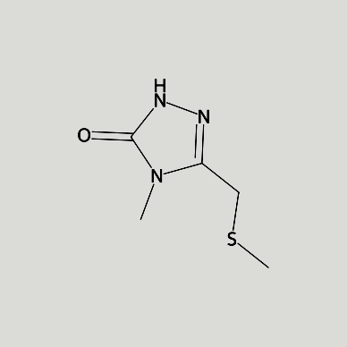 CSCc1n[nH]c(=O)n1C